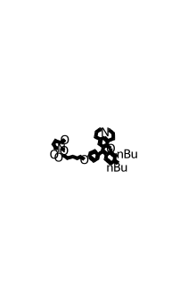 C=c1c(CCCC)cc2c(c1CCCC)Oc1c(cc3c4c1CCCN4CCC3)C=2c1ccc(OCCCCC(=O)ON2C(=O)CCC2=O)cc1